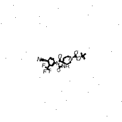 CC(C)(C)OC(=O)N1CCC2(CC1)NC(=O)N(c1ccc(C#N)c(C(F)(F)F)c1)C2=O